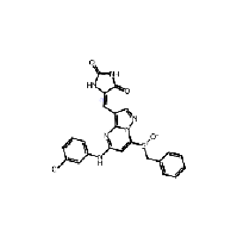 O=C1NC(=O)/C(=C\c2cnn3c([S+]([O-])Cc4ccccc4)cc(Nc4cccc(Cl)c4)nc23)N1